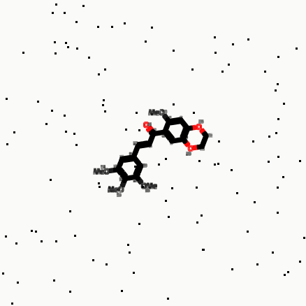 COc1cc2c(cc1C(=O)C=Cc1cc(OC)c(OC)c(OC)c1)OCCO2